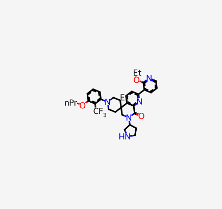 CCCOc1cccc(N2CCC3(CN(C4CCNC4)C(=O)c4nc(-c5cccnc5OCC)ccc43)C(CC)C2)c1C(F)(F)F